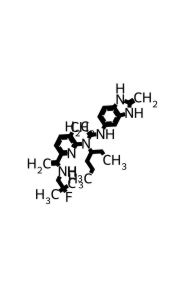 C=C1Nc2ccc(NC(=C)N(c3nc(C(=C)NCC(C)(C)F)ccc3C)C(CC)CCC)cc2N1